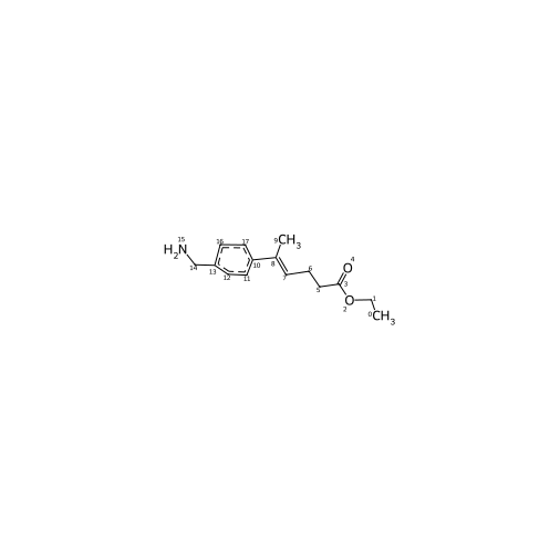 CCOC(=O)CC/C=C(\C)c1ccc(CN)cc1